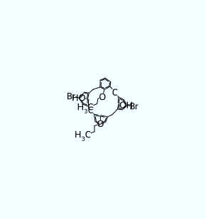 CCCOc1c2cccc1Cc1cc(Br)cc(c1O)Cc1cccc(c1OCCC)Cc1cc(Br)cc(c1O)C2